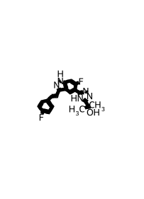 CC(C)(O)c1nnc(-c2cc3c(C=Cc4ccc(F)cc4)n[nH]c3cc2F)[nH]1